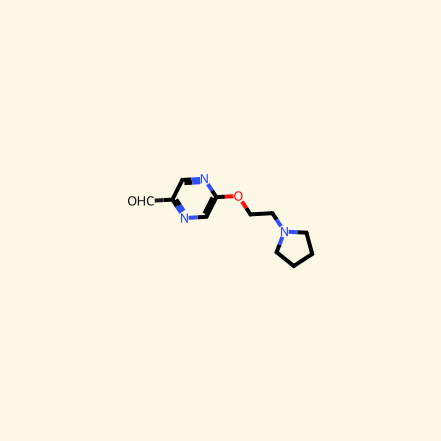 O=Cc1cnc(OCCN2CCCC2)cn1